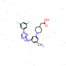 Cc1cc(Nc2ncn(-c3cc(F)cc(F)c3)n2)cc(N2CCC(CC(=O)O)CC2)c1